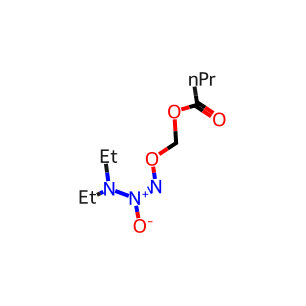 CCCC(=O)OCO/N=[N+](/[O-])N(CC)CC